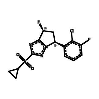 O=S(=O)(c1nc2n(n1)[C@H](c1cccc(F)c1Cl)C[C@@H]2F)C1CC1